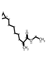 C=C(CCCCCCC1CC1)C(=O)OCC